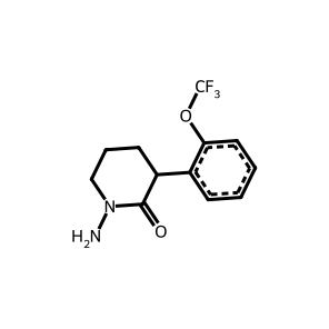 NN1CCCC(c2ccccc2OC(F)(F)F)C1=O